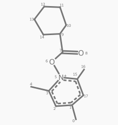 Cc1cc(C)[n+](OC(=O)C2CCCCC2)c(C)c1